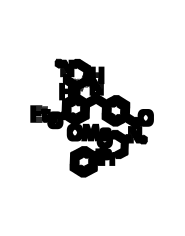 CCOc1cc2c(cc1OC)C(c1ccc(C(=O)N(C)C(COCc3ccccc3)CC(C)C)cc1)=N[C@@H]1CCN(C)C[C@H]21